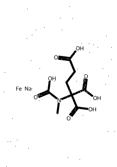 CN(C(=O)O)C(CCC(=O)O)(C(=O)O)C(=O)O.[Fe].[Na]